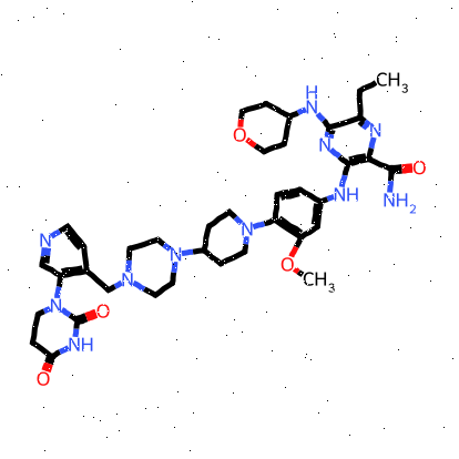 CCc1nc(C(N)=O)c(Nc2ccc(N3CCC(N4CCN(Cc5ccncc5N5CCC(=O)NC5=O)CC4)CC3)c(OC)c2)nc1NC1CCOCC1